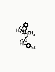 CCc1ccc(NC(=O)OCCN(C)C(=O)N(C)Cc2ccccc2Cl)cc1